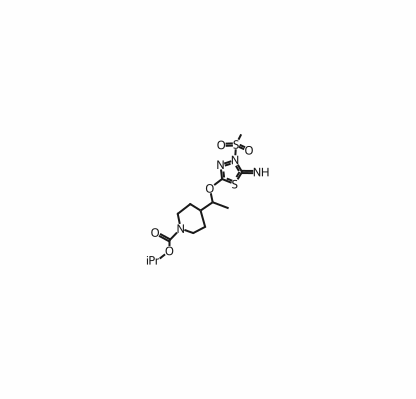 CC(C)OC(=O)N1CCC(C(C)Oc2nn(S(C)(=O)=O)c(=N)s2)CC1